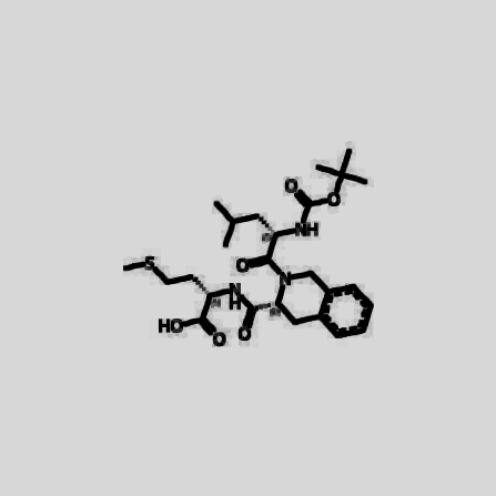 CSCC[C@H](NC(=O)[C@H]1Cc2ccccc2CN1C(=O)[C@H](CC(C)C)NC(=O)OC(C)(C)C)C(=O)O